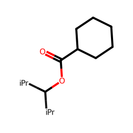 CC(C)C(OC(=O)C1CCCCC1)C(C)C